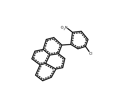 O=[N+]([O-])c1ccc(Cl)cc1-c1ccc2ccc3cccc4ccc1c2c34